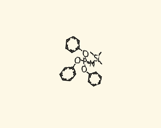 C[Si](C)(C)N=P(Oc1ccccc1)(Oc1ccccc1)Oc1ccccc1